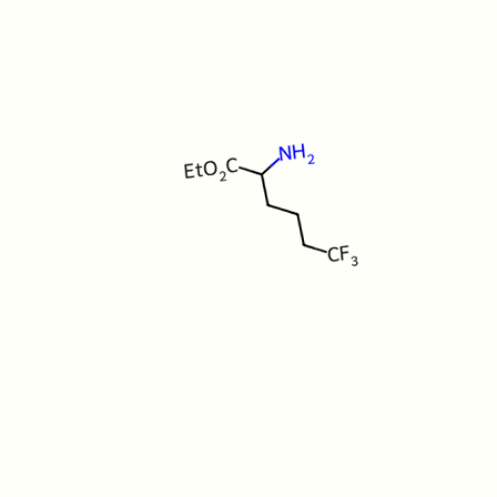 CCOC(=O)C(N)CCCC(F)(F)F